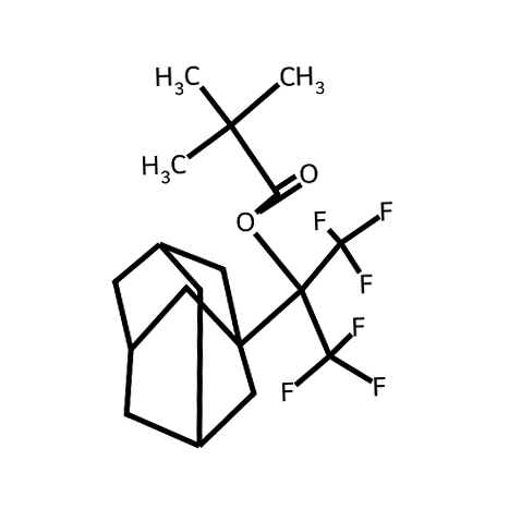 CC(C)(C)C(=O)OC(C(F)(F)F)(C(F)(F)F)C12CC3CC(CC(C3)C1)C2